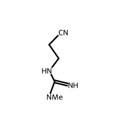 CNC(=N)NCCC#N